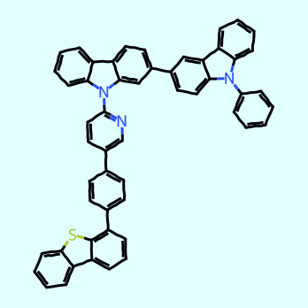 c1ccc(-n2c3ccccc3c3cc(-c4ccc5c6ccccc6n(-c6ccc(-c7ccc(-c8cccc9c8sc8ccccc89)cc7)cn6)c5c4)ccc32)cc1